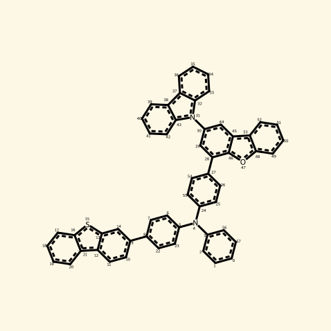 c1ccc(N(c2ccc(-c3ccc4c(c3)sc3ccccc34)cc2)c2ccc(-c3cc(-n4c5ccccc5c5ccccc54)cc4c3oc3ccccc34)cc2)cc1